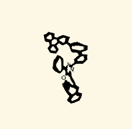 c1ccc(-c2nc(-c3cccc(-c4cccc(-c5ccc6c7ccccc7c7ccccc7c6c5)c4)c3)nc3c2oc2cc4ccccc4cc23)cc1